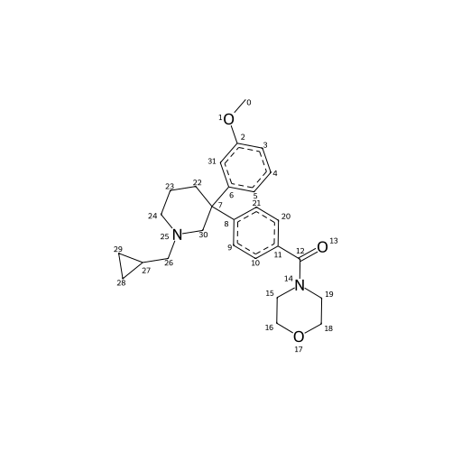 COc1cccc(C2(c3ccc(C(=O)N4CCOCC4)cc3)CCCN(CC3CC3)C2)c1